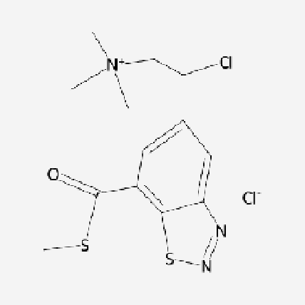 CSC(=O)c1cccc2nnsc12.C[N+](C)(C)CCCl.[Cl-]